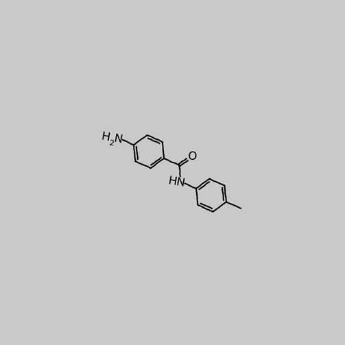 Cc1ccc(NC(=O)c2ccc(N)cc2)cc1